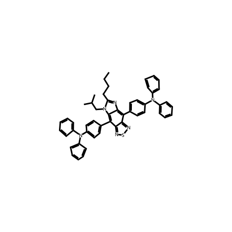 CCCCc1nc2c(-c3ccc(N(c4ccccc4)c4ccccc4)cc3)c3nsnc3c(-c3ccc(N(c4ccccc4)c4ccccc4)cc3)c2n1CC(C)C